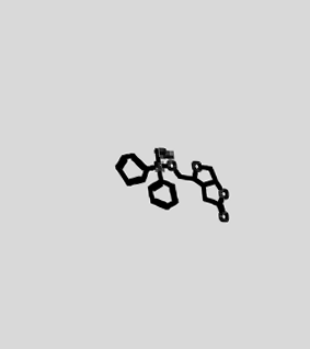 CC(C)(C)[Si](OCC1OCC2OC(=O)CC12)(c1ccccc1)c1ccccc1